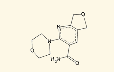 NC(=O)c1cc2c(nc1N1CCOCC1)COC2